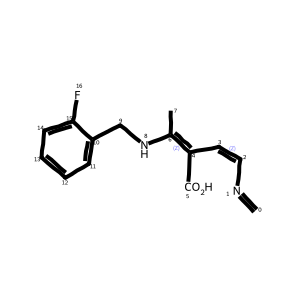 C=N/C=C\C(C(=O)O)=C(/C)NCc1ccccc1F